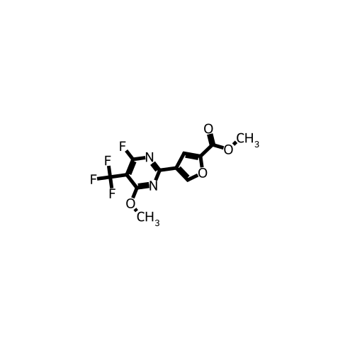 COC(=O)c1cc(-c2nc(F)c(C(F)(F)F)c(OC)n2)co1